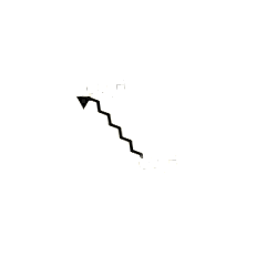 O=C(O)CCCCCCCCCC1(C(=O)O)CC1